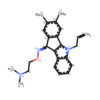 C=CCn1c2c(c3ccccc31)C(=NOCCN(C)C)c1cc(OC)c(OC)cc1-2